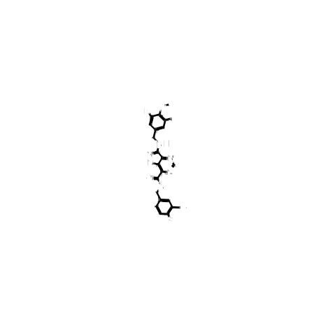 COc1c(F)cc(CNc2n[nH]c3c(C(=O)NCc4ccc(F)c(I)c4)ncnc23)cc1F